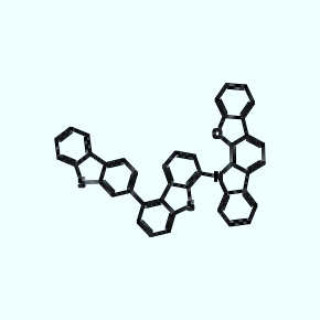 c1ccc2c(c1)oc1c2ccc2c3ccccc3n(-c3cccc4c3sc3cccc(-c5ccc6c(c5)sc5ccccc56)c34)c21